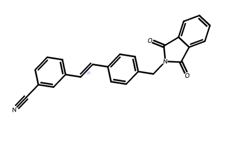 N#Cc1cccc(/C=C/c2ccc(CN3C(=O)c4ccccc4C3=O)cc2)c1